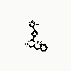 Cn1nncc1-c1coc(C(=O)NC(CN)Cc2ccccc2C(F)(F)F)c1